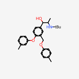 Cc1ccc(OCc2cc(C(O)C(C)NC(C)(C)C)ccc2Oc2cccc(C)c2)cc1